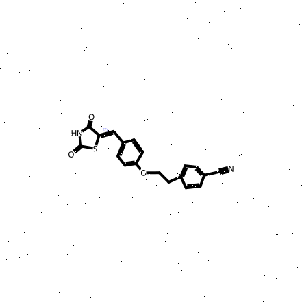 N#Cc1ccc(CCOc2ccc(/C=C3\SC(=O)NC3=O)cc2)cc1